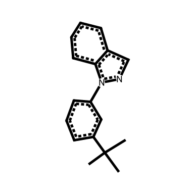 CC(C)(C)c1cccc(-n2ncc3ccccc32)c1